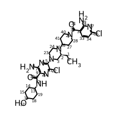 CC[C@H]1CN(c2nc(N)c(C(=O)NC3CCC(O)CC3)nc2Cl)CCN1C1CCN(C(=O)c2ccc(Cl)nc2N)CC1